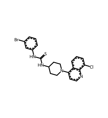 S=C(Nc1cccc(Br)c1)NC1CCN(c2ccnc3c(Cl)cccc23)CC1